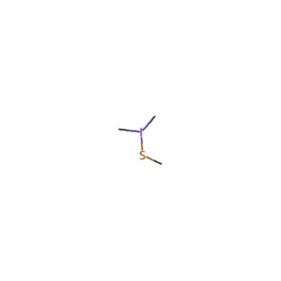 CSI(C)C